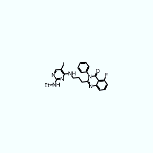 CCNc1ncc(I)c(NCCCc2nc3cccc(F)c3c(=O)n2-c2ccccc2)n1